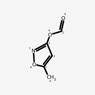 Cc1cc(O[C]=O)no1